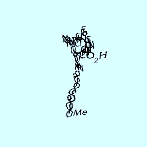 COCCOCCOCCOCCOCCOC[C@]1(F)CC[C@@H](c2nccc(COc3ccc4cc3C[C@H](C(=O)O)Oc3ncnc5sc(-c6ccc(F)cc6)c(c35)-c3c(C)c(Cl)c(c(Cl)c3C)O[C@H](CN3CCN(C)CC3)CO4)n2)CC1